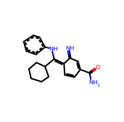 N=C1C=C(C(N)=O)C=C/C1=C(/Nc1ccccc1)C1CCCCC1